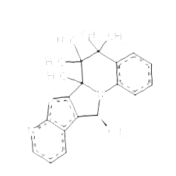 C[C@H]1c2c(sc3ncccc23)C2(C)N1c1ccccc1C(C)(C)C2(C)C